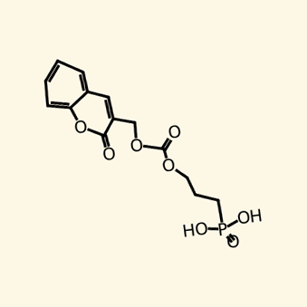 O=C(OCCCP(=O)(O)O)OCc1cc2ccccc2oc1=O